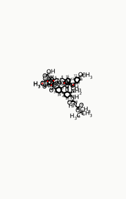 COc1ccc(CN(Cc2ccc(OC)cc2)S(=O)(=O)c2c(S(=O)(=O)NC3CCN(C(=O)O)C3C(C)(C)C)ccc(-c3ccc(NC(=O)CNC(=O)OC(C)(C)C)c(N)c3)c2-c2nnn(Cc3ccc(OC)cc3)n2)cc1